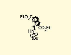 CCOC(=O)c1ccc2cc(C(=O)OCC)n([C@@H](C)CNC(=O)OC(C)(C)C)c2n1